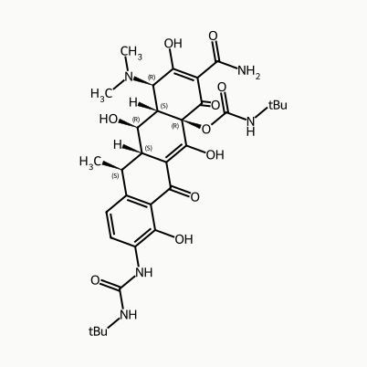 C[C@@H]1c2ccc(NC(=O)NC(C)(C)C)c(O)c2C(=O)C2=C(O)[C@@]3(OC(=O)NC(C)(C)C)C(=O)C(C(N)=O)=C(O)[C@H](N(C)C)[C@H]3[C@H](O)[C@H]21